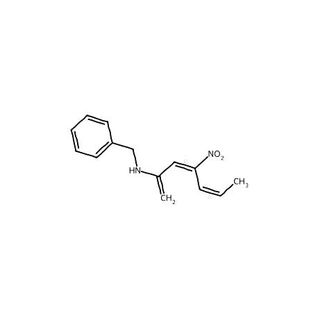 C=C(/C=C(\C=C/C)[N+](=O)[O-])NCc1ccccc1